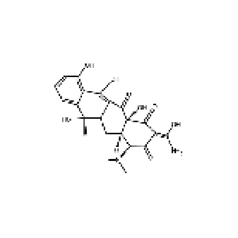 CN(C)[C@@H]1C(=O)C(=C(N)O)C(=O)[C@@]2(O)C(=O)C3=C(O)c4c(O)cccc4[C@@](C)(O)C3C[C@@H]12